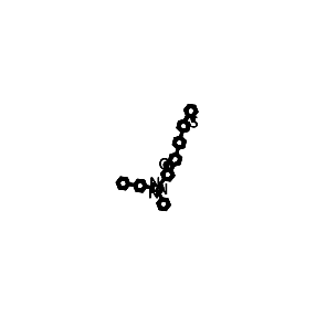 c1ccc(-c2ccc(-c3nc(-c4ccccc4)nc(-c4ccc5c(c4)oc4cc(-c6ccc(-c7ccc8c(c7)sc7ccccc78)cc6)ccc45)n3)cc2)cc1